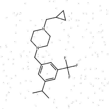 CC(C)c1cc(CN2CCN(CC3CC3)CC2)cc(C(F)(F)F)c1